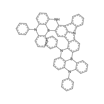 c1ccc(N2c3ccccc3B3c4cc5c6c7c(ccc6n6c8ccccc8c(c4Nc4cccc2c43)c56)B2c3ccccc3N(c3ccccc3)c3cccc(c32)N7c2ccccc2)cc1